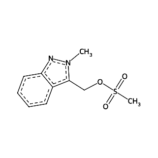 Cn1nc2ccccc2c1COS(C)(=O)=O